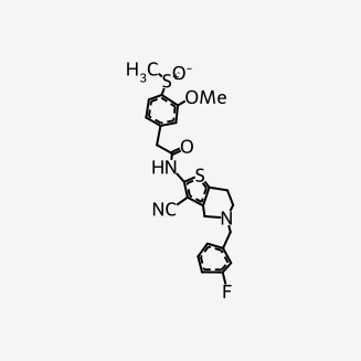 COc1cc(CC(=O)Nc2sc3c(c2C#N)CN(Cc2cccc(F)c2)CC3)ccc1[S+](C)[O-]